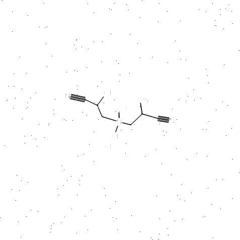 C[N+](C)(CC(O)C#N)CC(O)C#N.[Cl-]